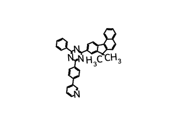 CC1(C)c2cc(-c3nc(-c4ccccc4)nc(-c4ccc(-c5cccnc5)cc4)n3)ccc2-c2c1ccc1ccccc21